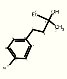 [CH2]CC(C)(O)CCc1ccc(F)cc1